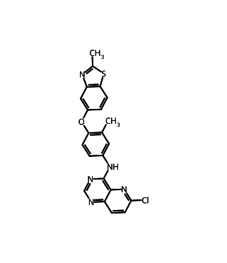 Cc1nc2cc(Oc3ccc(Nc4ncnc5ccc(Cl)nc45)cc3C)ccc2s1